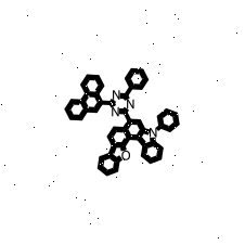 c1ccc(-c2nc(-c3cc4ccccc4c4ccccc34)nc(-c3cc4c(c5ccccc5n4-c4ccccc4)c4c3ccc3c5ccccc5oc34)n2)cc1